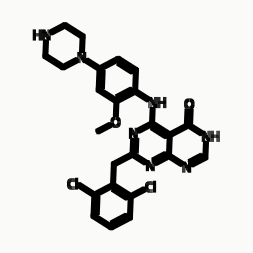 COc1cc(N2CCNCC2)ccc1Nc1nc(Cc2c(Cl)cccc2Cl)nc2nc[nH]c(=O)c12